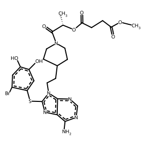 COC(=O)CCC(=O)O[C@@H](C)C(=O)N1CCC(CCn2c(Sc3cc(O)c(O)cc3Br)nc3c(N)ncnc32)CC1